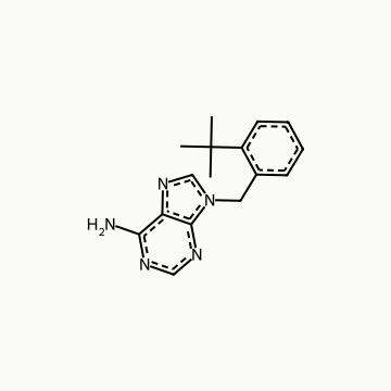 CC(C)(C)c1ccccc1Cn1cnc2c(N)ncnc21